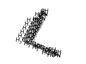 COCN1CCCC1.COCN1CCCC1.COCN1CCCC1.COCN1CCCC1.COCN1CCCC1.COCN1CCCC1.COCN1CCCC1.COCN1CCCC1.N#CB(O)O.N#CB(O)O.N#CB(O)O.N#CB(O)O